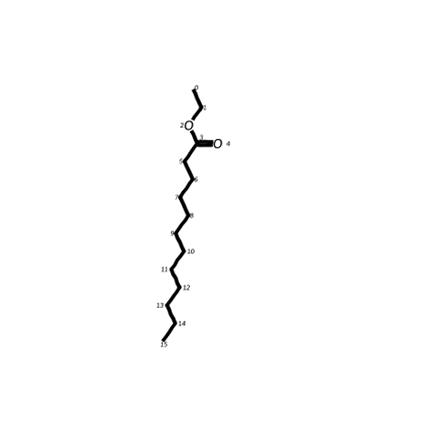 C[CH]OC(=O)CCCCCCCCCCC